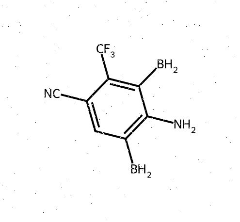 Bc1cc(C#N)c(C(F)(F)F)c(B)c1N